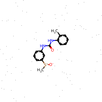 Cc1ccccc1NC(=O)Nc1cccc([S+](C)[O-])c1